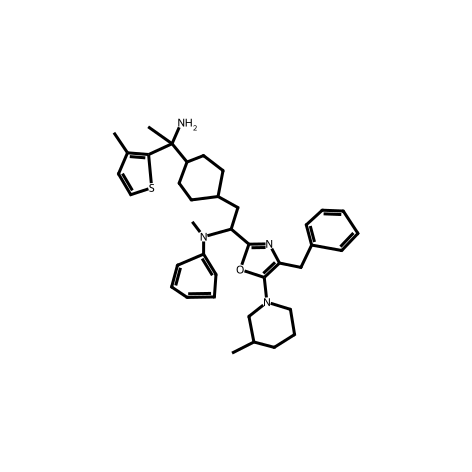 Cc1ccsc1C(C)(N)C1CCC(CC(c2nc(Cc3ccccc3)c(N3CCCC(C)C3)o2)N(C)c2ccccc2)CC1